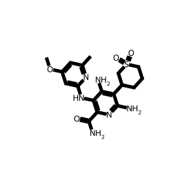 COc1cc(C)nc(Nc2c(C(N)=O)nc(N)c(C3CCCS(=O)(=O)C3)c2N)c1